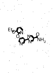 CCOc1cccnc1Oc1cncc(-c2ncc(C(N)=O)cn2)c1